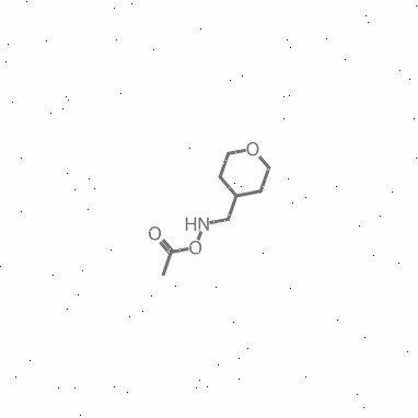 CC(=O)ONCC1CCOCC1